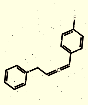 Fc1ccc(C=C=CCc2ccccc2)cc1